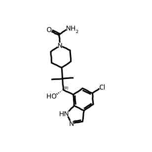 CC(C)(C1CCN(C(N)=O)CC1)[C@@H](O)c1cc(Cl)cc2cn[nH]c12